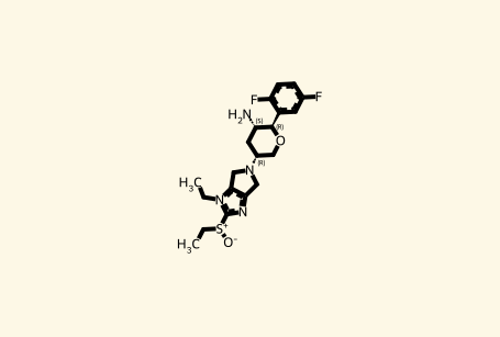 CCn1c([S+]([O-])CC)nc2c1CN([C@H]1CO[C@H](c3cc(F)ccc3F)[C@@H](N)C1)C2